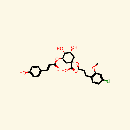 COc1cc(Cl)ccc1CCCO[C@@]1(C(=O)O)C[C@H](O)[C@@H](O)[C@H](OC(=O)/C=C/c2ccc(O)cc2)C1